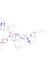 C=N/C(=N\C(C)=C(/C)C(=O)N[C@@H](CCN)C(=O)N(C)[C@@H]1C(=O)N[C@@H](C)C(=O)N[C@H](C(=O)NCC#N)Cc2ccc(O)c(c2)-c2cc1ccc2O)c1ccc(CCCCC)cc1